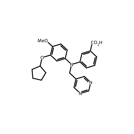 COc1ccc(N(Cc2cncnc2)c2cccc(C(=O)O)c2)cc1OC1CCCC1